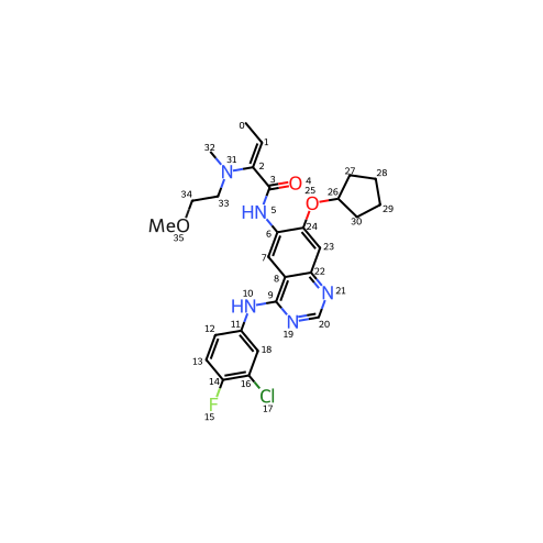 CC=C(C(=O)Nc1cc2c(Nc3ccc(F)c(Cl)c3)ncnc2cc1OC1CCCC1)N(C)CCOC